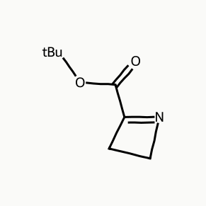 CC(C)(C)OC(=O)C1=NCC1